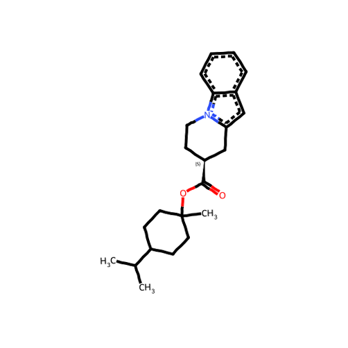 CC(C)C1CCC(C)(OC(=O)[C@H]2CCn3c(cc4ccccc43)C2)CC1